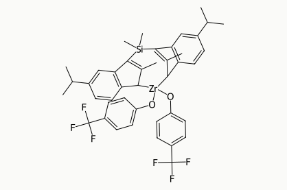 CC1=C2c3cc(C(C)C)ccc3[CH]1[Zr]([O]c1ccc(C(F)(F)F)cc1)([O]c1ccc(C(F)(F)F)cc1)[CH]1C(C)=C(c3cc(C(C)C)ccc31)[Si]2(C)C